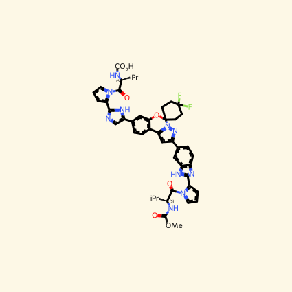 COC(=O)N[C@H](C(=O)n1cccc1-c1nc2ccc(-c3cc4n(n3)C3(CCC(F)(F)CC3)Oc3cc(-c5cnc(-c6cccn6C(=O)[C@@H](NC(=O)O)C(C)C)[nH]5)ccc3-4)cc2[nH]1)C(C)C